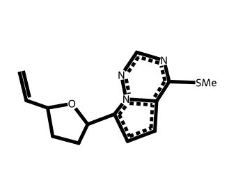 C=CC1CCC(c2ccc3c(SC)ncnn23)O1